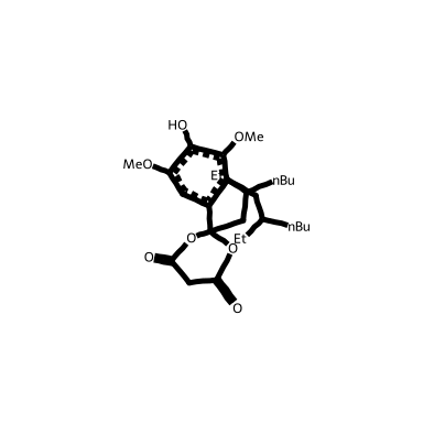 CCCCC(CC)Cc1c(C2(CC(CC)CCCC)OC(=O)CC(=O)O2)cc(OC)c(O)c1OC